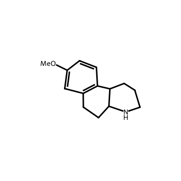 COc1ccc2c(c1)CCC1NCCCC21